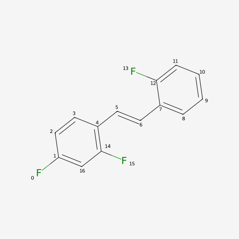 Fc1ccc(/C=C/c2ccccc2F)c(F)c1